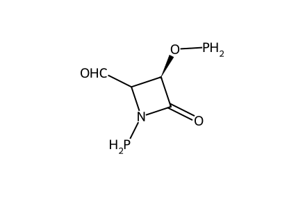 O=CC1[C@@H](OP)C(=O)N1P